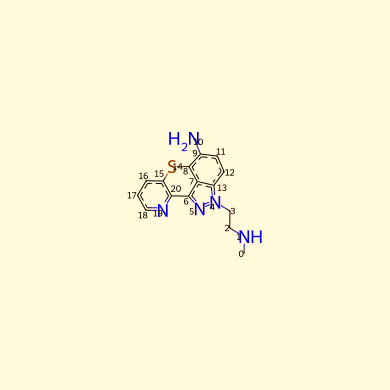 CNCCn1nc2c3c(c(N)ccc31)Sc1cccnc1-2